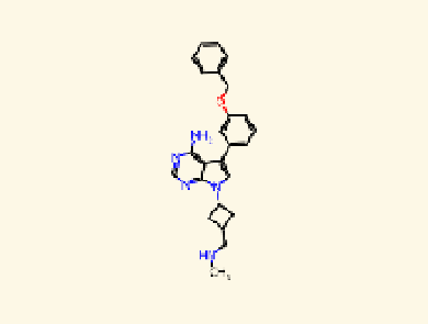 CNC[C@H]1C[C@@H](n2cc(-c3cccc(OCc4ccccc4)c3)c3c(N)ncnc32)C1